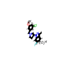 Cc1nn([C@@H]2CCN(Cc3cc(Cl)cc(OC(F)(F)F)c3)C2)c2cc(F)c(C(=O)O)cc12